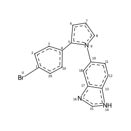 Brc1ccc(-c2c[c]cn2-c2ccc3[nH]cnc3c2)cc1